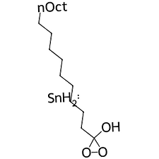 CCCCCCCCCCCCCCCCCC1(O)OO1.[SnH2]